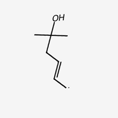 [CH2]C=CCC(C)(C)O